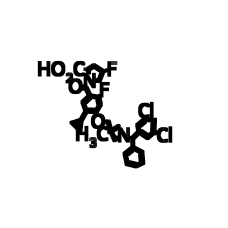 CC1(COc2cc(F)c(C(=O)N3C[C@H](F)C[C@H]3C(=O)O)cc2C2CC2)CN([C@@H](c2ccccc2)c2cc(Cl)cc(Cl)c2)C1